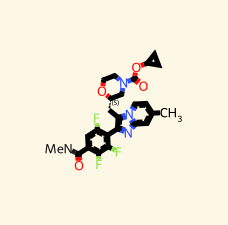 CNC(=O)c1cc(F)c(-c2nc3cc(C)ccn3c2C[C@H]2CN(C(=O)OC3CC3)CCO2)c(F)c1F